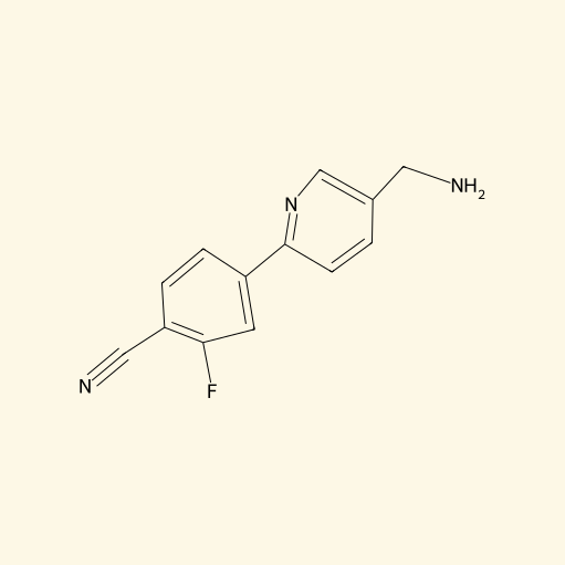 N#Cc1ccc(-c2ccc(CN)cn2)cc1F